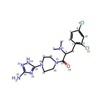 CN(C)C(Cc1ccc(Cl)cc1Cl)C(=O)N1CCN(c2nc(N)n[nH]2)CC1